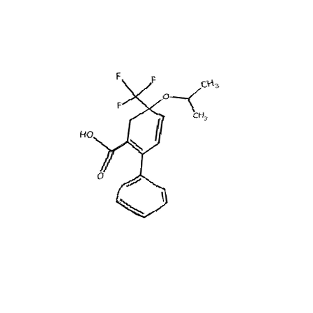 CC(C)OC1(C(F)(F)F)C=CC(c2ccccc2)=C(C(=O)O)C1